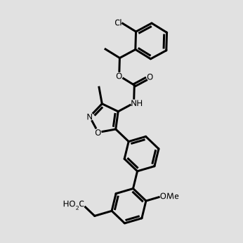 COc1ccc(CC(=O)O)cc1-c1cccc(-c2onc(C)c2NC(=O)OC(C)c2ccccc2Cl)c1